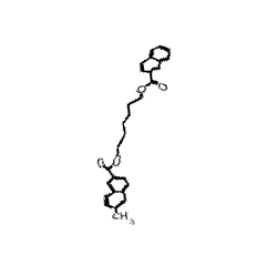 Cc1ccc2cc(C(=O)OCCCCCCOC(=O)c3ccc4ccccc4c3)ccc2c1